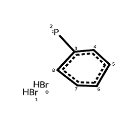 Br.Br.[P]c1ccccc1